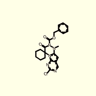 CN1c2cc3cnc(Cl)nc3n2C2(CCCCC2)C(=O)N1C(=O)OCc1ccccc1